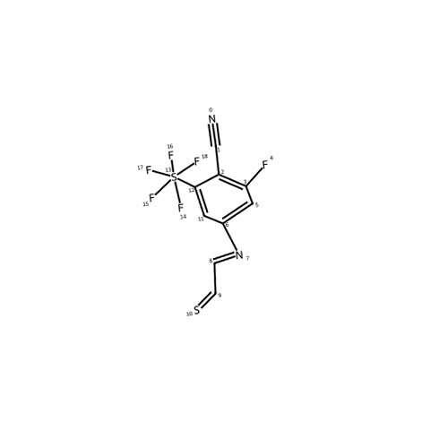 N#Cc1c(F)cc(N=CC=S)cc1S(F)(F)(F)(F)F